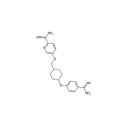 N=C(N)c1ccc(OC2CCC(COc3ccc(C(=N)N)nc3)CC2)cc1